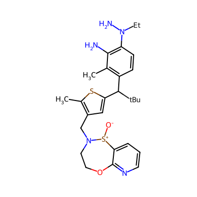 CCN(N)c1ccc(C(c2cc(CN3CCOc4ncccc4[S+]3[O-])c(C)s2)C(C)(C)C)c(C)c1N